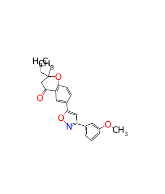 CCC1(CC)CC(=O)c2cc(-c3cc(-c4cccc(OC)c4)no3)ccc2O1